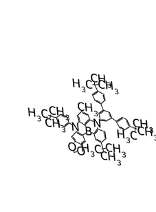 Cc1cc2c3c(c1)N(c1ccc(C(C)(C)C)cc1)c1cc4c(cc1B3c1cc(C(C)(C)C)ccc1N2c1cc(-c2ccc(C(C)(C)C)cc2)cc(-c2ccc(C(C)(C)C)cc2)c1)OCO4